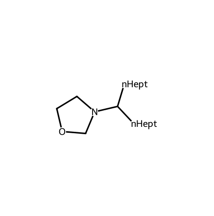 CCCCCCCC(CCCCCCC)N1CCOC1